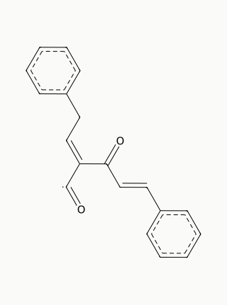 O=[C]C(=CCc1ccccc1)C(=O)C=Cc1ccccc1